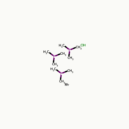 CP(C)C.CP(C)C.CP(C)C.Cl.[Rh]